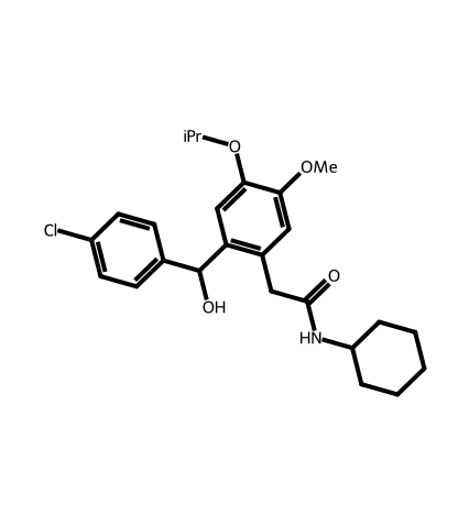 COc1cc(CC(=O)NC2CCCCC2)c(C(O)c2ccc(Cl)cc2)cc1OC(C)C